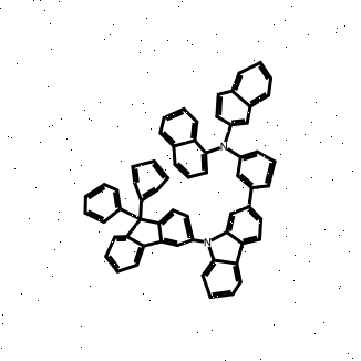 c1ccc(C2(c3ccccc3)c3ccccc3-c3cc(-n4c5ccccc5c5ccc(-c6cccc(N(c7ccc8ccccc8c7)c7cccc8ccccc78)c6)cc54)ccc32)cc1